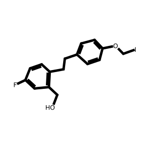 OCc1cc(F)ccc1CCc1ccc(OCI)cc1